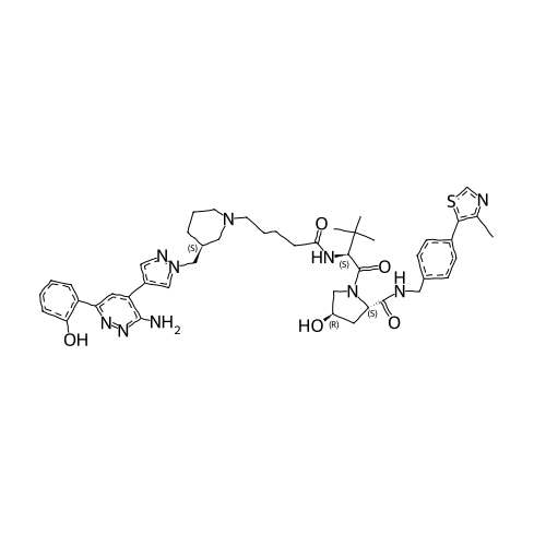 Cc1ncsc1-c1ccc(CNC(=O)[C@@H]2C[C@@H](O)CN2C(=O)[C@@H](NC(=O)CCCCN2CCC[C@H](Cn3cc(-c4cc(-c5ccccc5O)nnc4N)cn3)C2)C(C)(C)C)cc1